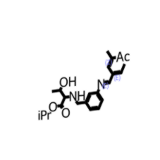 C/C=C(\C=C(\C)C(C)=O)/C=N/c1cccc(CNC(C(=O)OC(C)C)C(C)O)c1